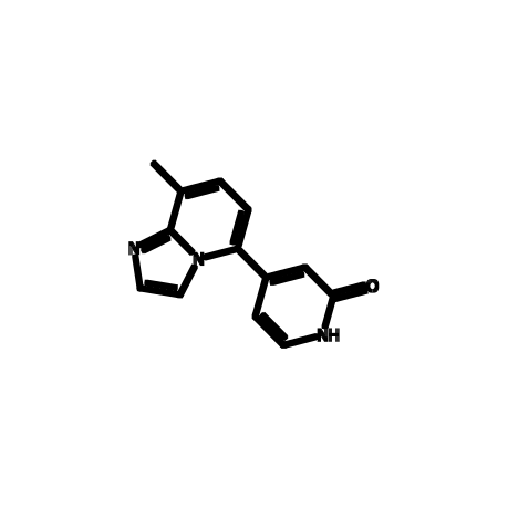 Cc1ccc(-c2cc[nH]c(=O)c2)n2ccnc12